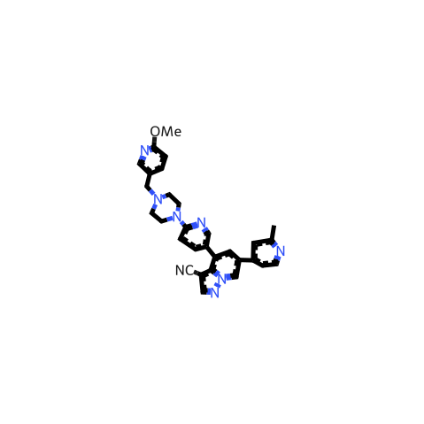 COc1ccc(CN2CCN(c3ccc(-c4cc(-c5ccnc(C)c5)cn5ncc(C#N)c45)cn3)CC2)cn1